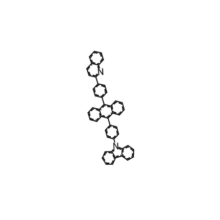 c1ccc2nc(-c3ccc(-c4c5ccccc5c(-c5ccc(-n6c7ccccc7c7ccccc76)cc5)c5ccccc45)cc3)ccc2c1